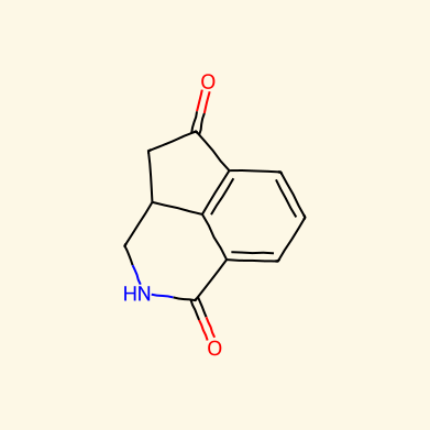 O=C1CC2CNC(=O)c3cccc1c32